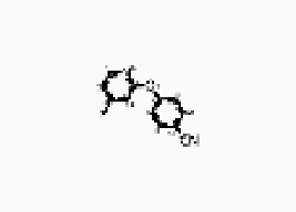 Cc1ccnc(Oc2ccc(C#N)cc2)c1